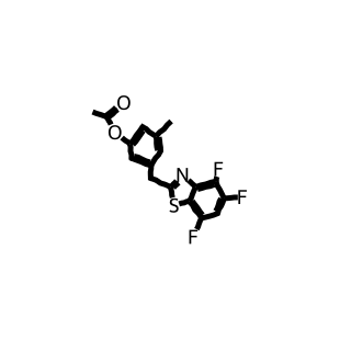 CC(=O)Oc1cc(C)cc(Cc2nc3c(F)c(F)cc(F)c3s2)c1